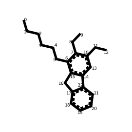 CCCCCCc1c(CC)c(CC)cc2c1Cc1ccccc1-2